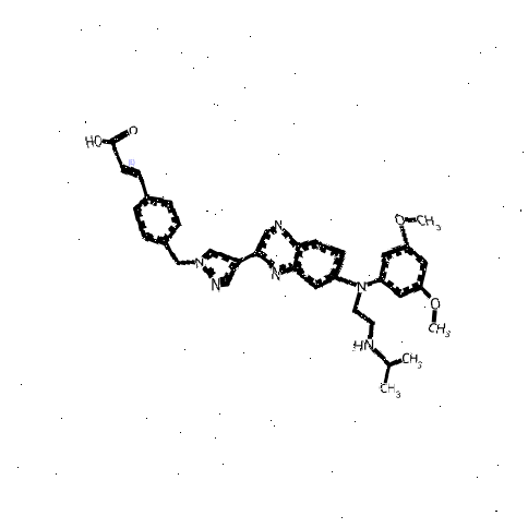 COc1cc(OC)cc(N(CCNC(C)C)c2ccc3ncc(-c4cnn(Cc5ccc(/C=C/C(=O)O)cc5)c4)nc3c2)c1